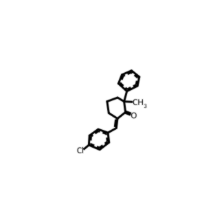 CC1(c2ccccc2)CCCC(=Cc2ccc(Cl)cc2)C1=O